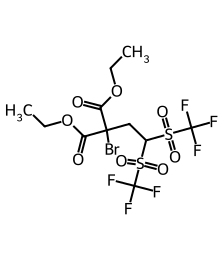 CCOC(=O)C(Br)(CC(S(=O)(=O)C(F)(F)F)S(=O)(=O)C(F)(F)F)C(=O)OCC